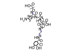 CC(C)(O/N=C(\C(=O)NC1C(=O)N2CC(C(=O)O)(N3CCN(/N=C/C=N/NC(=O)c4ccc(O)c(O)c4Cl)C3=O)S[C@H]12)c1csc(N)n1)C(=O)O